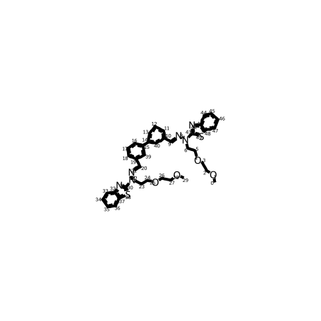 COCCOCCN(/N=C/c1cccc(-c2cccc(/C=N/N(CCOCCOC)c3nc4ccccc4s3)c2)c1)c1nc2ccccc2s1